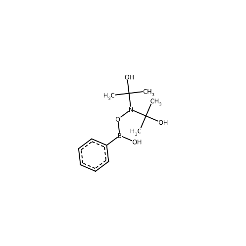 CC(C)(O)N(OB(O)c1ccccc1)C(C)(C)O